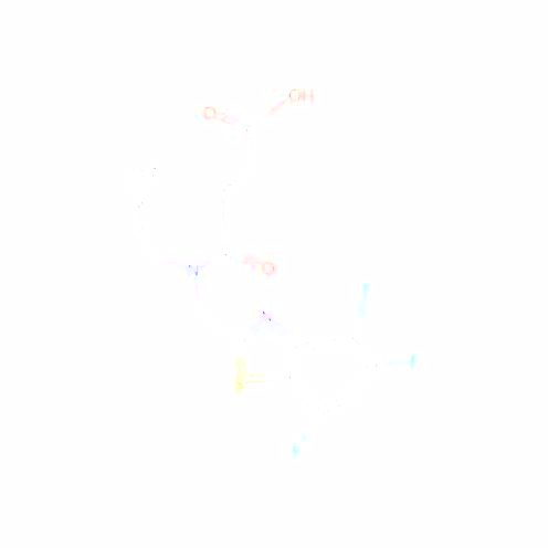 O=C(O)CCC(=O)N(Cc1nc2c(F)c(F)cc(F)c2s1)CC1CC1